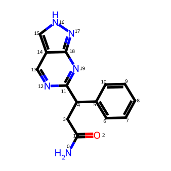 NC(=O)CC(c1ccccc1)c1ncc2c[nH]nc2n1